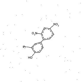 CC(C)c1cc(-c2ccc([N+](=O)[O-])cc2[N+](=O)[O-])ccc1O